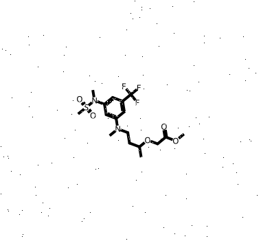 COC(=O)COC(C)CCN(C)c1cc(N(C)S(C)(=O)=O)cc(C(F)(F)F)c1